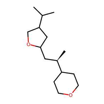 CC(C)C1COC(C[C@@H](C)C2CCOCC2)C1